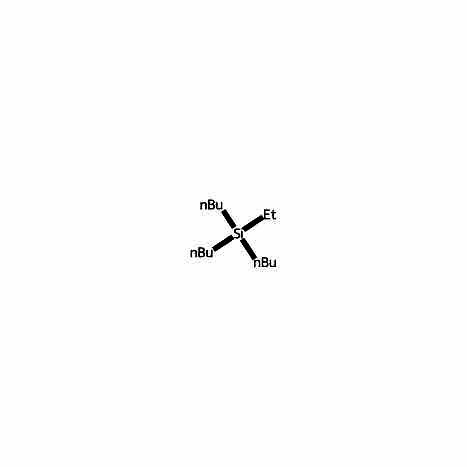 [CH2]C[Si](CCCC)(CCCC)CCCC